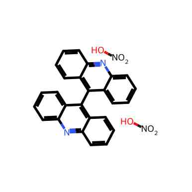 O=[N+]([O-])O.O=[N+]([O-])O.c1ccc2c(-c3c4ccccc4nc4ccccc34)c3ccccc3nc2c1